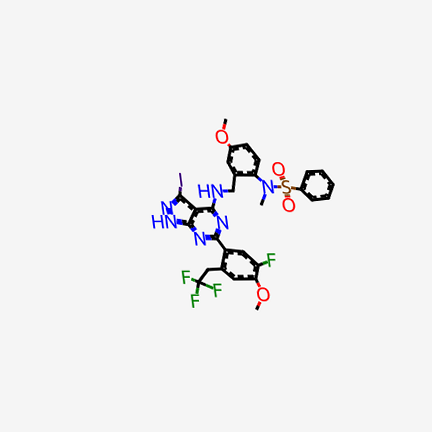 COc1ccc(N(C)S(=O)(=O)c2ccccc2)c(CNc2nc(-c3cc(F)c(OC)cc3CC(F)(F)F)nc3[nH]nc(I)c23)c1